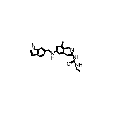 CCNC(=O)Nc1cc2cc(NCc3ccc4ccn(C)c4c3)cc(C)c2cn1